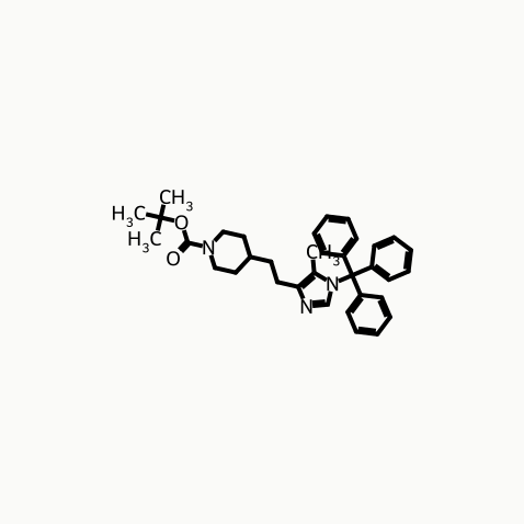 Cc1c(CCC2CCN(C(=O)OC(C)(C)C)CC2)ncn1C(c1ccccc1)(c1ccccc1)c1ccccc1